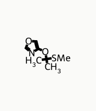 CSC(C)(C)Oc1cocn1